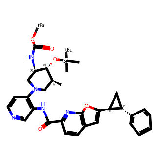 C[C@H]1CN(c2ccncc2NC(=O)c2ccc3cc([C@H]4C[C@@H]4c4ccccc4)oc3n2)C[C@@H](NC(=O)OC(C)(C)C)[C@@H]1O[Si](C)(C)C(C)(C)C